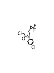 O=C(CCl)N(CCC1CC1(F)F)c1ccc(Cl)cc1